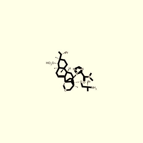 CC(C)[C@@H](C)[C@@]1(C)CC[C@]2(C)[C@H]3CC[C@@H]4[C@@]5(COC[C@]4(C)[C@@H](OC[C@](C)(N)C(C)C)[C@H](n4ncnc4C(=O)N(C)C)C5)C3=CC[C@@]2(C)[C@@H]1C(=O)O